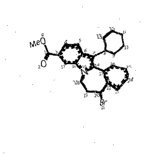 COC(=O)c1ccc2c(C3CCCCC3)c3n(c2c1)CCC(Br)c1ccccc1-3